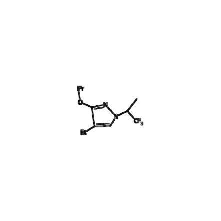 CCc1cn(C(C)C(F)(F)F)nc1OC(C)C